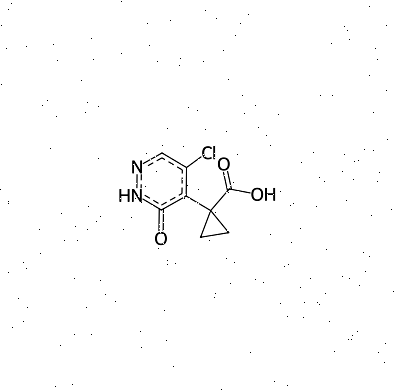 O=C(O)C1(c2c(Cl)cn[nH]c2=O)CC1